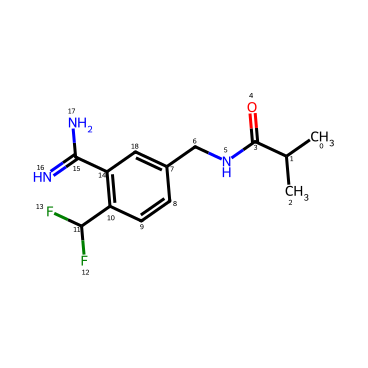 CC(C)C(=O)NCc1ccc(C(F)F)c(C(=N)N)c1